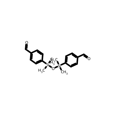 C[Si](C)(O[Si](C)(C)c1ccc(C=O)cc1)c1ccc(C=O)cc1